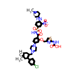 CN1CCC(Nc2ccc(S(=O)(=O)NC(=O)c3ccc(N4CCN(CC5=C(c6ccc(Cl)cc6)CC(C)(C)CC5)CC4)cc3OCc3csc(NC(=O)O)n3)cc2[N+](=O)[O-])CC1